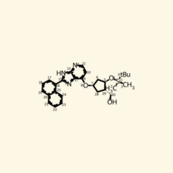 CC(C)(C)[Si](C)(C)O[C@@H]1C[C@H](Oc2ccnc3[nH]c(-c4cccc5ccccc45)nc23)C[C@H]1CO